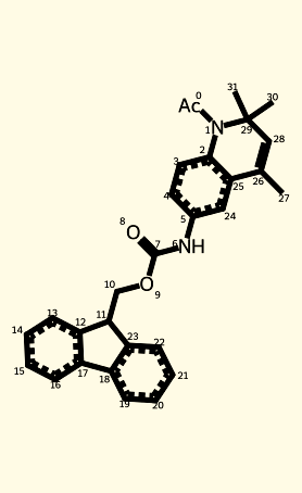 CC(=O)N1c2ccc(NC(=O)OCC3c4ccccc4-c4ccccc43)cc2C(C)=CC1(C)C